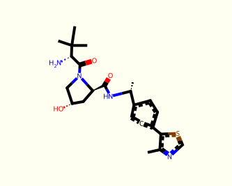 Cc1ncsc1-c1ccc([C@@H](C)NC(=O)[C@H]2C[C@H](O)CN2C(=O)[C@H](N)C(C)(C)C)cc1